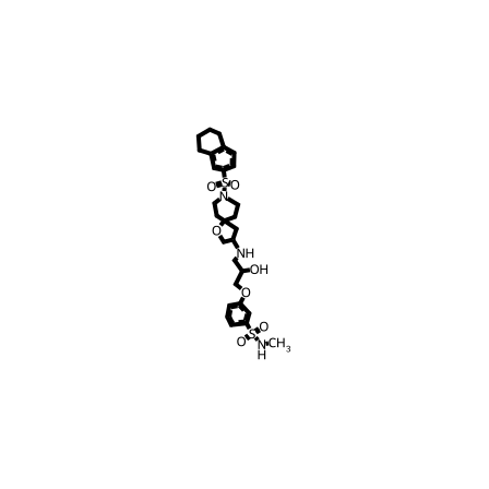 CNS(=O)(=O)c1cccc(OCC(O)CNC2COC3(CCN(S(=O)(=O)c4ccc5c(c4)CCCC5)CC3)C2)c1